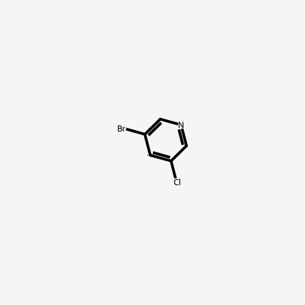 Clc1[c]c(Br)cnc1